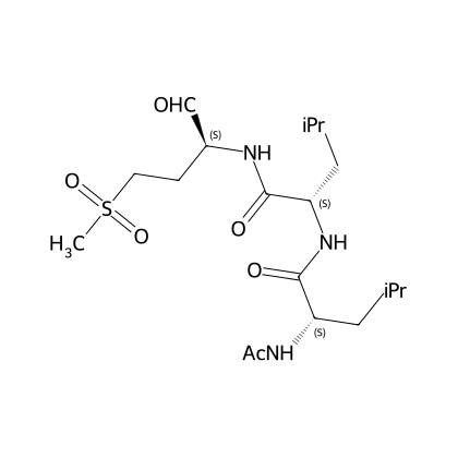 CC(=O)N[C@@H](CC(C)C)C(=O)N[C@@H](CC(C)C)C(=O)N[C@H](C=O)CCS(C)(=O)=O